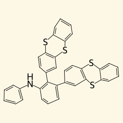 c1ccc(Nc2cccc(-c3ccc4c(c3)Sc3ccccc3S4)c2-c2ccc3c(c2)Sc2ccccc2S3)cc1